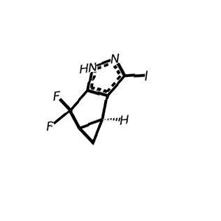 FC1(F)c2[nH]nc(I)c2[C@H]2CC21